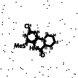 CSc1nc(Cl)nc2c1NC(=O)C1CCCCN21